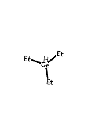 C[CH2][GeH]([CH2]C)[CH2]C